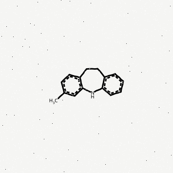 Cc1ccc2c(c1)Nc1ccccc1CC2